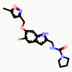 Cc1cc(COc2cc3[nH]c(CNC(=O)N4CCCC4)cc3cc2F)no1